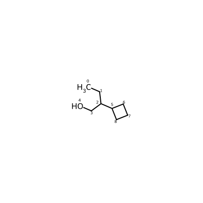 CCC(CO)C1CCC1